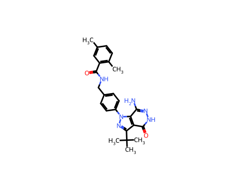 Cc1ccc(C)c(C(=O)NCc2ccc(-n3nc(C(C)(C)C)c4c(=O)[nH]nc(N)c43)cc2)c1